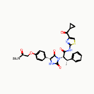 CNC(=O)COc1ccc([C@H]2NC(=O)N([C@H](C(=O)Nc3nc(C(=O)C4CC4)cs3)[C@@H](C)c3ccccc3)C2=O)cc1